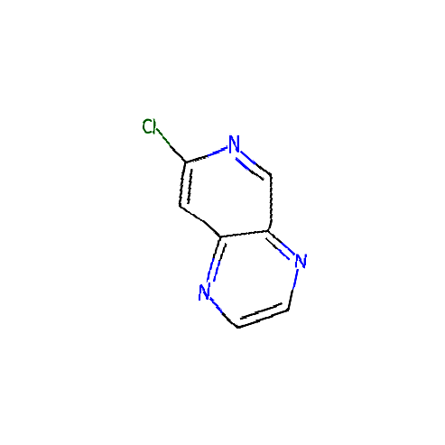 Clc1cc2nccnc2cn1